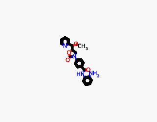 COC(c1ccccn1)C1CN(c2ccc(C(=O)Nc3ccccc3N)cc2)C(=O)O1